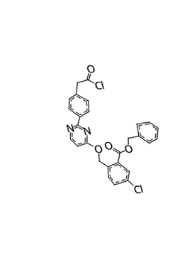 O=C(Cl)Cc1ccc(-c2nccc(OCc3ccc(Cl)cc3C(=O)OCc3ccccc3)n2)cc1